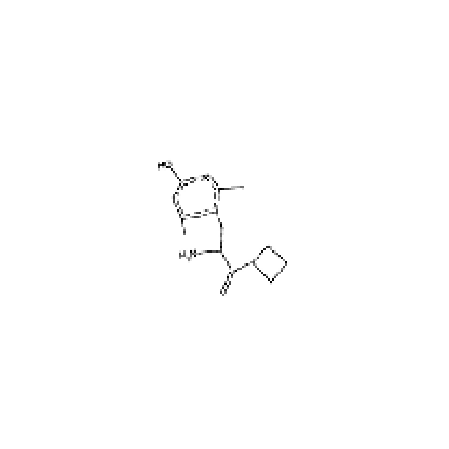 C=C(C(N)Cc1c(C)cc(O)cc1C)C1CCC1